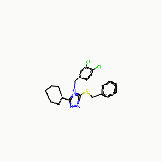 Clc1ccc(Cn2c(SCc3ccccc3)nnc2C2CCCCC2)cc1Cl